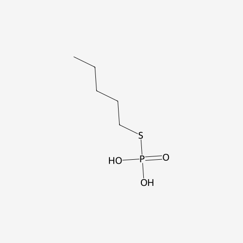 CCCCCSP(=O)(O)O